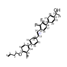 C=CCCOc1ccc(-c2ccc(/C=C/c3ccc(-c4ccc(C(C)O)cc4)c(F)c3F)cc2)cc1F